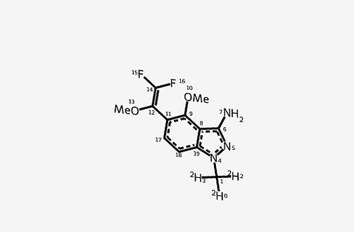 [2H]C([2H])([2H])n1nc(N)c2c(OC)c(C(OC)=C(F)F)ccc21